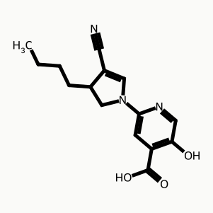 CCCCC1CN(c2cc(C(=O)O)c(O)cn2)C=C1C#N